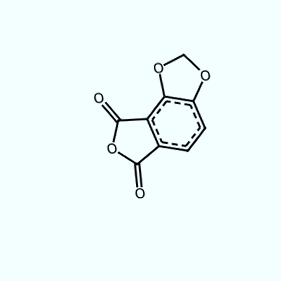 O=C1OC(=O)c2c1ccc1c2OCO1